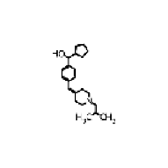 CC(C)CN1CCC(=Cc2ccc(C(O)C3CCCC3)cc2)CC1